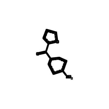 O=C(c1ccc([N+](=O)[O-])cc1)c1ccco1